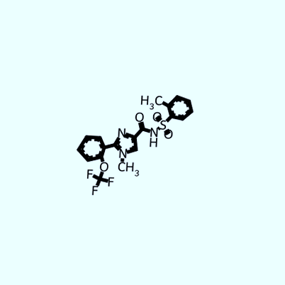 Cc1ccccc1S(=O)(=O)NC(=O)c1cn(C)c(-c2ccccc2OC(F)(F)F)n1